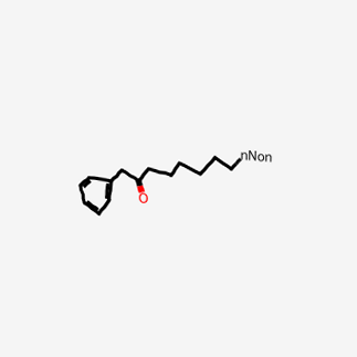 CCCCCCCCCCCCCCCC(=O)Cc1ccccc1